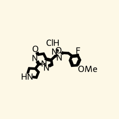 COc1ccc(Cc2nc(-c3cnn4c3CC(=O)N=C4C3CCNCC3)no2)c(F)c1.Cl